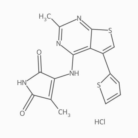 CC1=C(Nc2nc(C)nc3scc(-c4cccs4)c23)C(=O)NC1=O.Cl